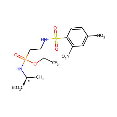 CCOC(=O)[C@H](C)NP(=O)(CCNS(=O)(=O)c1ccc([N+](=O)[O-])cc1[N+](=O)[O-])OCC(F)(F)F